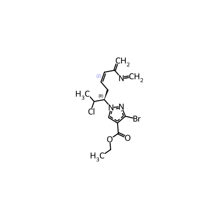 C=NC(=C)/C=C\C[C@H](C(C)Cl)n1cc(C(=O)OCC)c(Br)n1